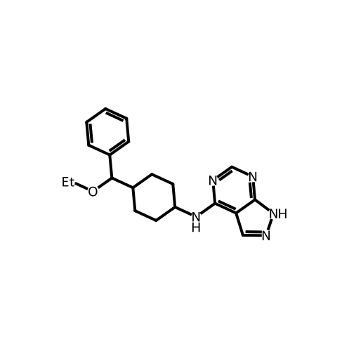 CCOC(c1ccccc1)C1CCC(Nc2ncnc3[nH]ncc23)CC1